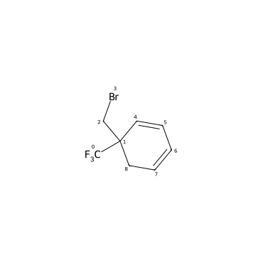 FC(F)(F)C1(CBr)C=CC=CC1